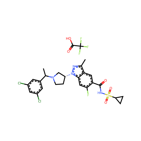 Cc1nn([C@@H]2CCN(C(C)c3cc(Cl)cc(Cl)c3)C2)c2cc(F)c(C(=O)NS(=O)(=O)C3CC3)cc12.O=C(O)C(F)(F)F